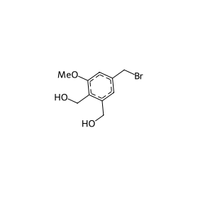 COc1cc(CBr)cc(CO)c1CO